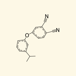 CC(C)c1cccc(Oc2ccc(C#N)c(C#N)c2)c1